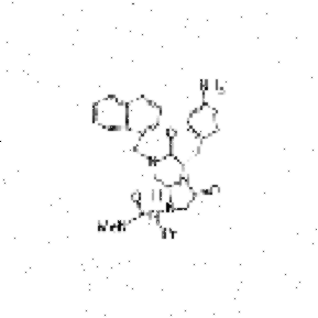 CNC(=O)N(C(C)C)N1CC(=O)N2[C@@H](Cc3ccc(N)cc3)C(=O)N(Cc3cccc4ccccc34)C[C@@H]21